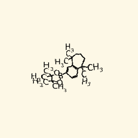 CC1(C)CCCC(C)(C)c2cc(B3OC(C)(C)C(C)(C)O3)ccc21